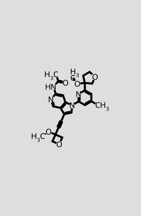 COC1(C#Cc2cn(-c3cc(C)cc(C4(OC)CCOC4)n3)c3cc(NC(C)=O)ncc23)COC1